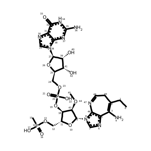 CCC1=C(N)c2ncn([C@@H]3O[C@H](COP(C)(=O)O)[C@@H](OP(=O)(O)OC[C@H]4O[C@@H](n5cnc6c(=O)[nH]c(N)nc65)[C@H](O)[C@@H]4O)[C@H]3OC)c2N=CC1